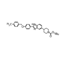 Cc1ccc(COc2ccc(-c3nc4cc(C5CCN(C(=O)OC(C)(C)C)CC5)ccc4[nH]3)cc2)cc1